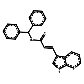 O=C(/C=C/c1c[nH]c2ncccc12)NC(c1ccccc1)c1ccccc1